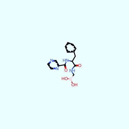 O=C(NC(Cc1ccccc1)C(=O)NCB(O)O)c1cnccn1